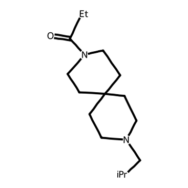 CCC(=O)N1CCC2(CCN(CC(C)C)CC2)CC1